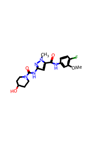 COc1cc(NC(=O)c2cc(NC(=O)N3CCC(O)CC3)nn2C)ccc1F